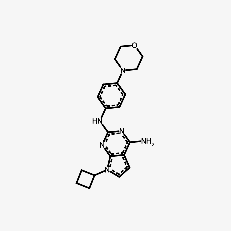 Nc1nc(Nc2ccc(N3CCOCC3)cc2)nc2c1ccn2C1CCC1